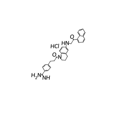 Cl.N=C(N)c1ccc(CCC(=O)N2CCCc3cc(NCC(=O)c4cccc5ccccc45)ccc32)cc1